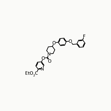 CCOC(=O)c1ccc(OC(=O)N2CCC(Oc3ccc(OCc4cccc(F)c4)cc3)CC2)cn1